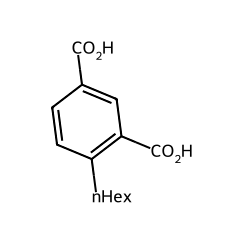 [CH2]CCCCCc1ccc(C(=O)O)cc1C(=O)O